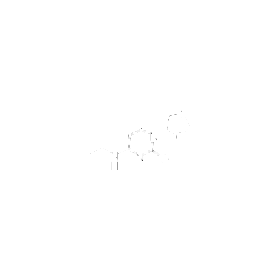 CCNc1ccn([C@@H]2CSCO2)c(=O)n1